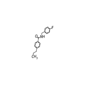 CCCc1ccc(C(=O)NCc2ccc(F)cc2)cc1